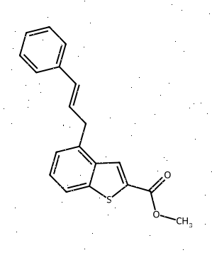 COC(=O)c1cc2c(CC=Cc3ccccc3)cccc2s1